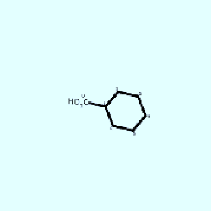 O=C(O)C1CC[CH]CC1